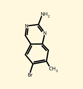 Cc1cc2nc(N)ncc2cc1Br